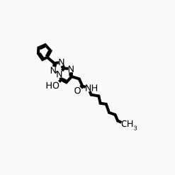 CCCCCCCCNC(=O)Cc1cc(O)n2nc(-c3ccccc3)nc2n1